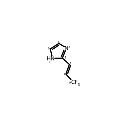 FC(F)(F)C=Cc1ncc[nH]1